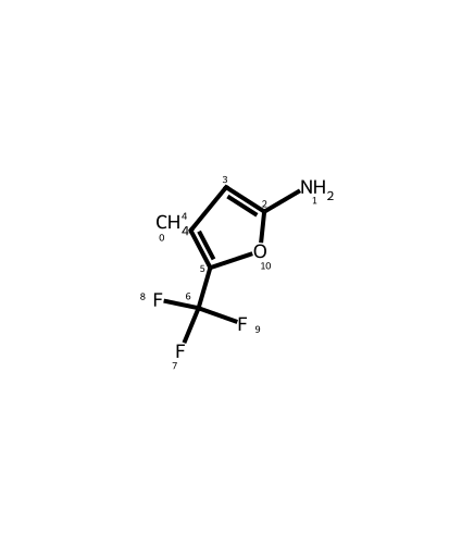 C.Nc1ccc(C(F)(F)F)o1